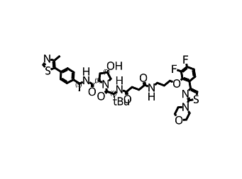 Cc1ncsc1-c1ccc([C@H](C)NC(=O)[C@@H]2C[C@@H](O)CN2C(=O)[C@@H](NC(=O)CCC(=O)NCCCOc2c(-c3csc(N4CCOCC4)n3)ccc(F)c2F)C(C)(C)C)cc1